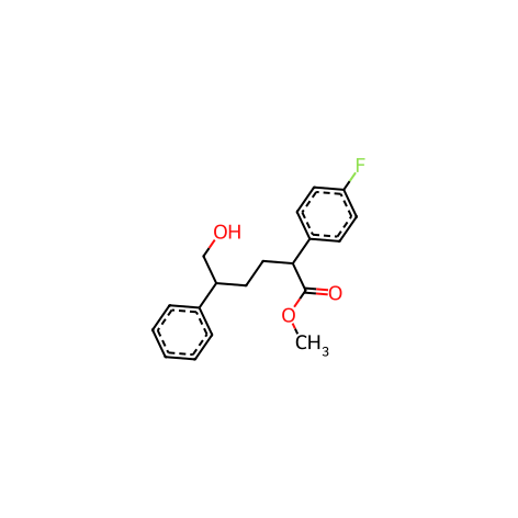 COC(=O)C(CCC(CO)c1ccccc1)c1ccc(F)cc1